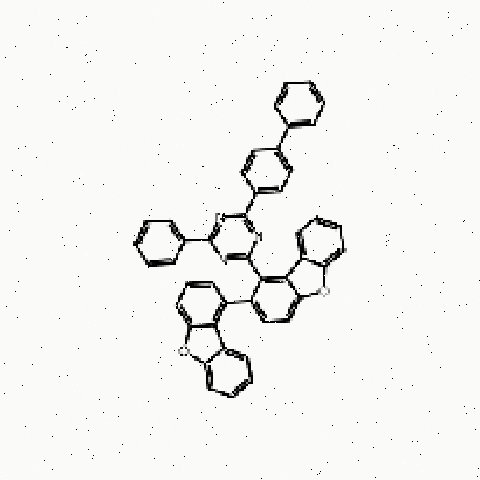 c1ccc(-c2ccc(-c3nc(-c4ccccc4)nc(-c4c(-c5cccc6oc7ccccc7c56)ccc5oc6ccccc6c45)n3)cc2)cc1